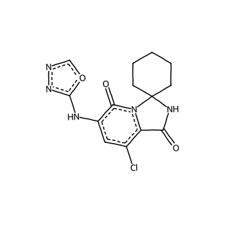 O=C1NC2(CCCCC2)n2c1c(Cl)cc(Nc1nnco1)c2=O